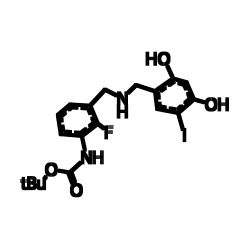 CC(C)(C)OC(=O)Nc1cccc(CNCc2cc(I)c(O)cc2O)c1F